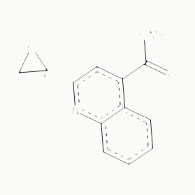 COC(=O)c1cc([C@@H]2CO2)nc2ccccc12